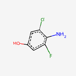 Nc1c(F)cc(O)cc1Cl